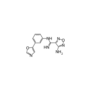 N=C(Nc1cccc(-c2cnco2)c1)c1nonc1N